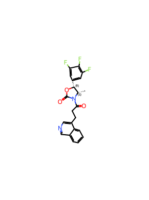 C[C@H]1[C@@H](c2cc(F)c(F)c(F)c2)OC(=O)N1C(=O)CCc1cncc2ccccc12